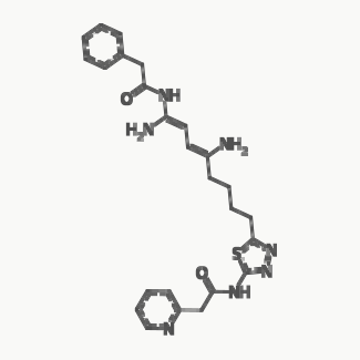 N/C(=C\C=C(/N)NC(=O)Cc1ccccc1)CCCCc1nnc(NC(=O)Cc2ccccn2)s1